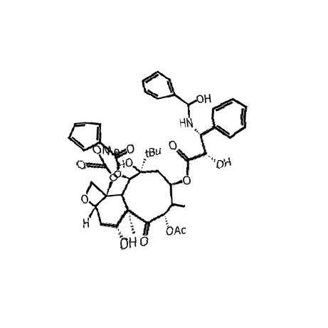 COC(=O)O[C@]12CO[C@H]1C[C@@H](O)[C@]1(C)C(=O)[C@@H](OC(C)=O)C(C)[C@H](OC(=O)[C@@H](O)[C@H](NC(O)c3ccccc3)c3ccccc3)C[C@@](O)(C(C)(C)C)[C@H](OC(=O)c3ccccc3)C21